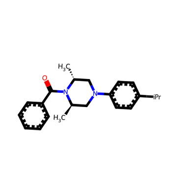 CC(C)c1ccc(N2C[C@@H](C)N(C(=O)c3ccccc3)[C@H](C)C2)cc1